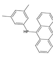 Cc1cc(C)cc(Pc2c3ccccc3cc3ccccc23)c1